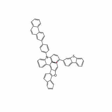 c1ccc(N(c2ccc(-c3ccc4c(ccc5ccccc54)c3)cc2)c2ccc(-c3ccc4c(c3)sc3ccccc34)cc2)c(-c2cccc3oc4c5ccccc5ccc4c23)c1